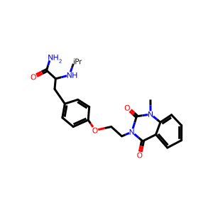 CC(C)NC(Cc1ccc(OCCn2c(=O)c3ccccc3n(C)c2=O)cc1)C(N)=O